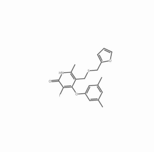 Cc1cc(C)cc(Oc2c(CSCc3ccco3)c(C)[nH]c(=O)c2I)c1